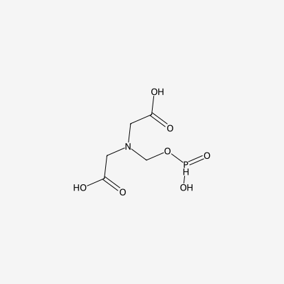 O=C(O)CN(CO[PH](=O)O)CC(=O)O